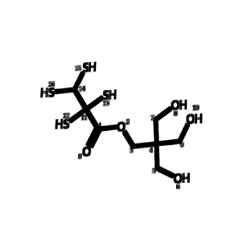 O=C(OCC(CO)(CO)CO)C(S)(S)C(S)S